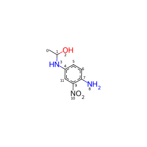 CC(O)Nc1ccc(N)c([N+](=O)[O-])c1